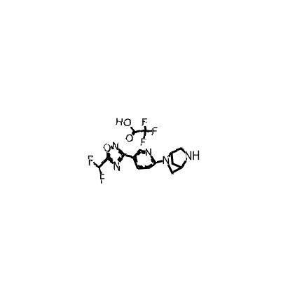 FC(F)c1nc(-c2ccc(N3CC4CC3CN4)nc2)no1.O=C(O)C(F)(F)F